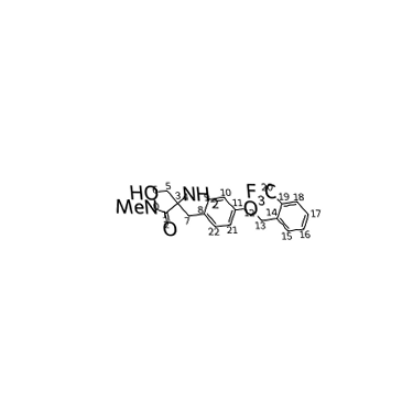 CNC(=O)C(N)(CO)Cc1ccc(OCc2ccccc2C(F)(F)F)cc1